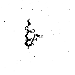 CCOC(=O)Cc1ccnn1PI